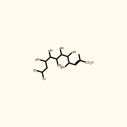 CCCC(C=C(C)C(=O)O)C(CCC)C(CCC)C(CCC)C(CCC)C(CCC)CC(CC)CC